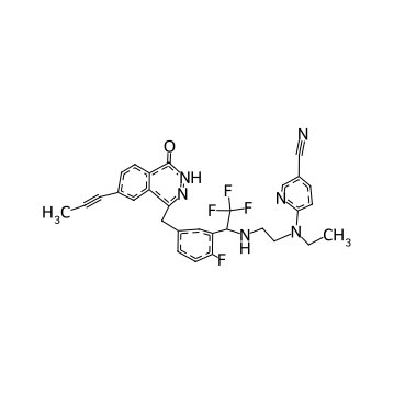 CC#Cc1ccc2c(=O)[nH]nc(Cc3ccc(F)c(C(NCCN(CC)c4ccc(C#N)cn4)C(F)(F)F)c3)c2c1